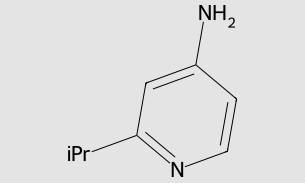 CC(C)c1cc(N)ccn1